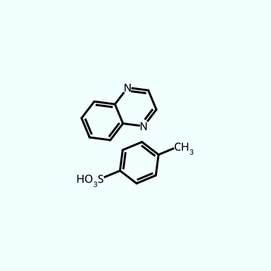 Cc1ccc(S(=O)(=O)O)cc1.c1ccc2nccnc2c1